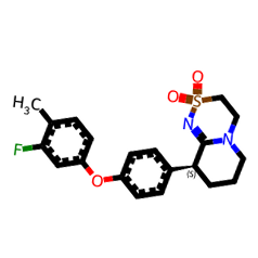 Cc1ccc(Oc2ccc([C@@H]3CCCN4CCS(=O)(=O)N=C34)cc2)cc1F